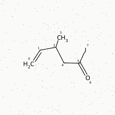 C=CC(C)CC(=O)I